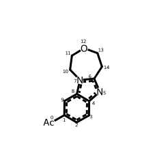 CC(=O)c1ccc2nc3n(c2c1)CCOCC3